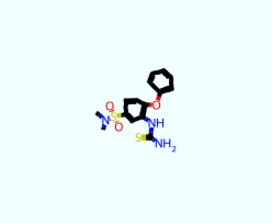 CN(C)S(=O)(=O)c1ccc(Oc2ccccc2)c(NC(N)=S)c1